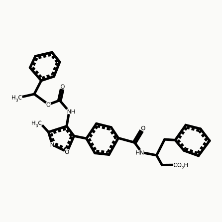 Cc1noc(-c2ccc(C(=O)NC(CC(=O)O)Cc3ccccc3)cc2)c1NC(=O)OC(C)c1ccccc1